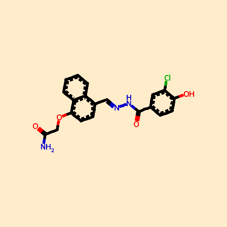 NC(=O)COc1ccc(C=NNC(=O)c2ccc(O)c(Cl)c2)c2ccccc12